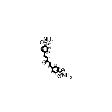 NS(=O)(=O)c1ccc(C=CC(=O)C=Cc2ccc(S(N)(=O)=O)cc2)cc1